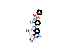 Cc1c(Nc2c(F)ccc(NS(=O)(=O)c3ccccc3)c2Cl)ccc2ncn(C)c(=O)c12